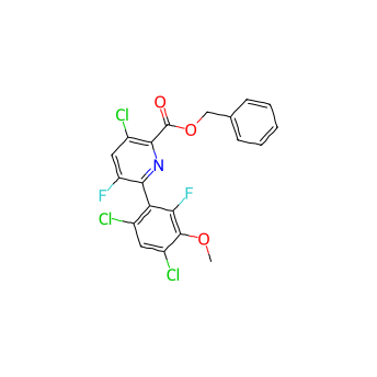 COc1c(Cl)cc(Cl)c(-c2nc(C(=O)OCc3ccccc3)c(Cl)cc2F)c1F